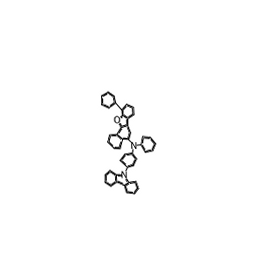 c1ccc(-c2cccc3c2oc2c4ccccc4c(N(c4ccccc4)c4ccc(-n5c6ccccc6c6ccccc65)cc4)cc32)cc1